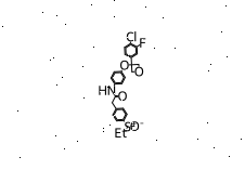 CC[S+]([O-])c1ccc(CC(=O)Nc2ccc(OC3(c4ccc(Cl)c(F)c4)COC3)cc2)cc1